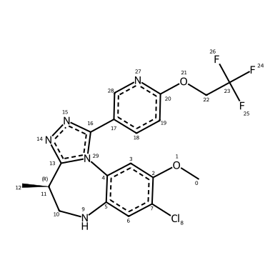 COc1cc2c(cc1Cl)NC[C@@H](C)c1nnc(-c3ccc(OCC(F)(F)F)nc3)n1-2